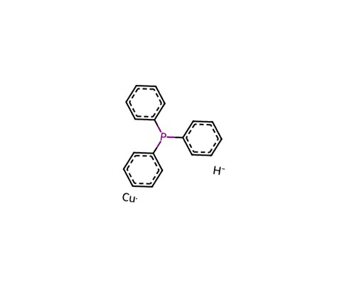 [Cu].[H-].c1ccc(P(c2ccccc2)c2ccccc2)cc1